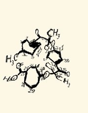 Cc1ccc(C(=O)C(C)(C)Oc2ccc(C(=O)C(C)(C)Oc3ccc(C(=O)O)cc3)cc2)cc1